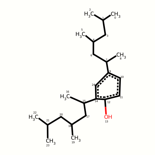 CC(C)CC(C)CC(C)c1ccc(O)c(C(C)CC(C)CC(C)C)c1